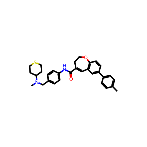 Cc1ccc(-c2ccc3c(c2)C=C(C(=O)Nc2ccc(CN(C)C4CCSCC4)cc2)CCO3)cc1